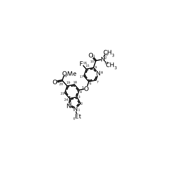 CCn1cc2c(Oc3cnc(C(=O)N(C)C)c(F)c3)cc(C(=O)OC)cc2n1